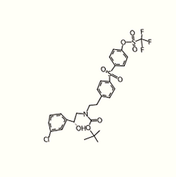 CC(C)(C)OC(=O)N(CCc1ccc(S(=O)(=O)c2ccc(OS(=O)(=O)C(F)(F)F)cc2)cc1)C[C@H](O)c1cccc(Cl)c1